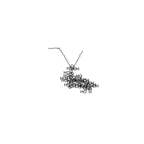 CCCCCCCC/C=C\CCCCCCCCCCCCCCCC(=O)N[C@@H](CO[C@@H]1OC(CO)[C@@H](O[C@@H]2OC(CO)[C@H](O)[C@H](O[C@@H]3OC(CO)[C@@H](O[C@@H]4OC(CO)[C@H](O)[C@H](O[C@]5(C(=O)O)CC(O)[C@@H](NC(=O)CO)C([C@H](O)[C@@H](CO)O[C@]6(C(=O)O)CC(O)[C@@H](NC(=O)CO)C([C@H](O)[C@H](O)CO)O6)O5)C4O)[C@H](O)C3NC(C)=O)C2O)[C@H](O)C1O)[C@H](O)/C=C/CCCCCCCCCCCCC